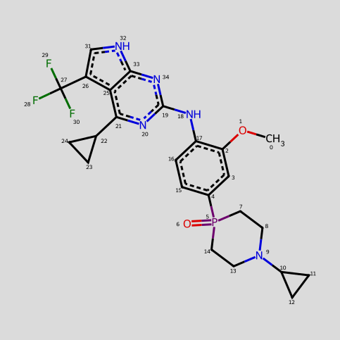 COc1cc(P2(=O)CCN(C3CC3)CC2)ccc1Nc1nc(C2CC2)c2c(C(F)(F)F)c[nH]c2n1